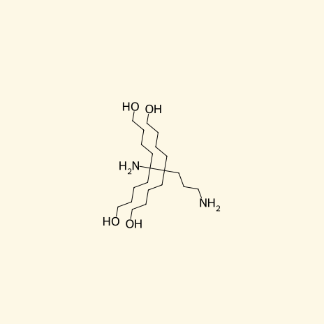 NCCCC(CCCCO)(CCCCO)C(N)(CCCCO)CCCCO